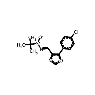 CC(C)(C)[S+]([O-])N=Cc1ncoc1-c1ccc(Cl)cc1